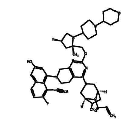 C#Cc1c(F)ccc2cc(O)cc(N3CCc4c(nc(OC[C@]5(C)C[C@@H](F)CN5C5CCN(C6CCOCC6)CC5)nc4N4C[C@H]5CC(C#N)[C@@H](C4)N5C(=O)C=C)C3)c12